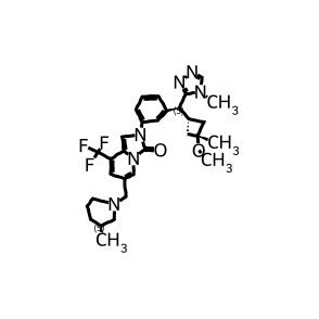 CO[C@]1(C)C[C@H]([C@@H](c2cccc(-n3cc4c(C(F)(F)F)cc(CN5CCC[C@H](C)C5)cn4c3=O)c2)c2nncn2C)C1